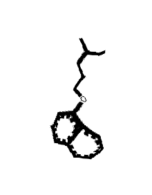 CC(C)CCCOc1cccc2ccccc12